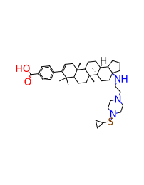 CC1(C)C(c2ccc(C(=O)O)cc2)=CC[C@@]2(C)C1CC[C@]1(C)C2CC[C@@H]2C3CCC[C@]3(NCCN3CCN(SC4CC4)CC3)CC[C@]21C